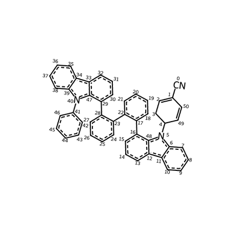 N#CC1=CCC(n2c3ccccc3c3cccc(-c4ccccc4-c4ccccc4-c4cccc5c6ccccc6n(-c6ccccc6)c45)c32)C=C1